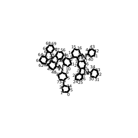 c1ccc(-c2ccc(N(c3ccc(-c4cccc5c4c4cc6c7ccccc7n(-c7ccccc7)c6cc4n5-c4ccccc4)cc3)c3cccc4c3-c3ccccc3C43c4ccccc4-c4ccccc43)cc2)cc1